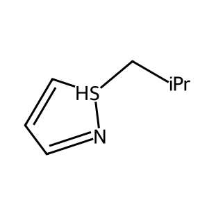 CC(C)C[SH]1C=CC=N1